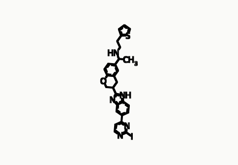 CC(NCCc1cccs1)c1ccc2c(c1)CC(c1nc3cc(-c4ccnc(I)n4)ccc3[nH]1)CO2